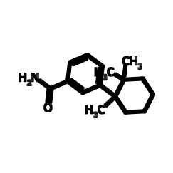 CC1(C)CCCCC1(C)c1cccc(C(N)=O)c1